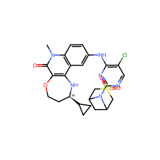 Cn1c(=O)c2c(c3cc(Nc4nc(N5C6CC5CS(=O)(=O)C6)ncc4Cl)ccc31)N[C@@H](C1CC1)CCO2